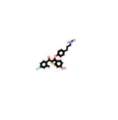 CCNCCCc1ccc(Oc2c(C(=O)c3ccc(F)cc3C)sc3cc(O)ccc23)cc1